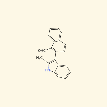 Cc1[nH]c2ccccc2c1-c1ccc2ccccc2c1C=O